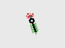 CO[Si](OC)(OC)c1ccc(C(F)(F)C(F)(F)C(F)(F)C(F)(F)F)cc1